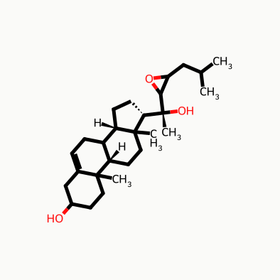 CC(C)CC1OC1[C@](C)(O)[C@H]1CC[C@H]2C3CC=C4CC(O)CCC4(C)[C@H]3CCC21C